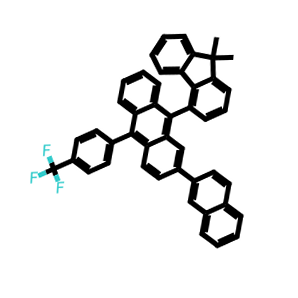 CC1(C)c2ccccc2-c2c(-c3c4ccccc4c(-c4ccc(C(F)(F)F)cc4)c4ccc(-c5ccc6ccccc6c5)cc34)cccc21